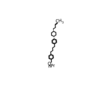 CC=CCC[C@H]1CC[C@H](c2ccc(CCCCc3ccc(COCCC)cc3)cc2)CC1